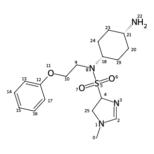 CN1C=NC(S(=O)(=O)N(CCOc2ccccc2)[C@H]2CC[C@@H](N)CC2)C1